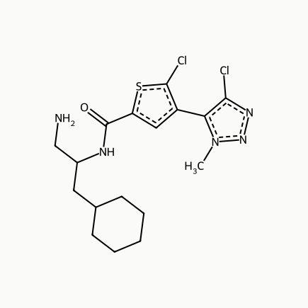 Cn1nnc(Cl)c1-c1cc(C(=O)NC(CN)CC2CCCCC2)sc1Cl